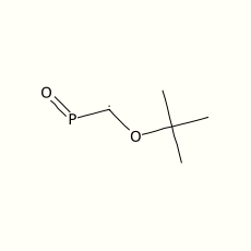 CC(C)(C)O[CH]P=O